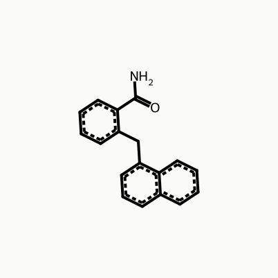 NC(=O)c1ccccc1Cc1cccc2ccccc12